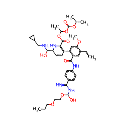 C=Cc1cc(C(=O)Nc2ccc(C(=N)NC(O)OCCOCCC)cc2)c(C2=C(C(=O)OC(C)OC(=O)OC(C)C)NC(C(O)NCC3CC3)C=C2)cc1OC